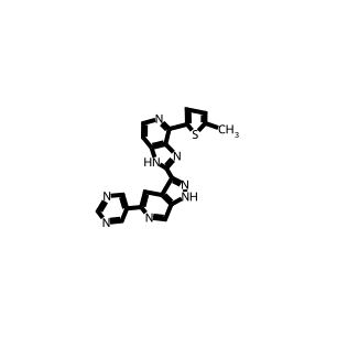 Cc1ccc(-c2nccc3[nH]c(-c4n[nH]c5cnc(-c6cncnc6)cc45)nc23)s1